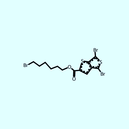 O=C(OCCCCCCBr)c1cc2c(Br)sc(Br)c2s1